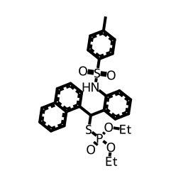 CCOP(=O)(OCC)SC(c1ccccc1NS(=O)(=O)c1ccc(C)cc1)c1cccc2ccccc12